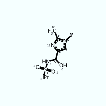 CC(C)S(=O)(=O)NC(O)c1cn(C)c(C(F)(F)F)n1